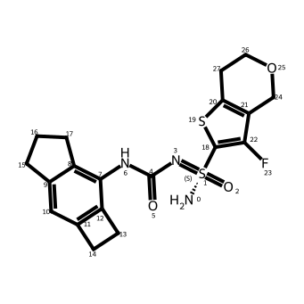 N[S@](=O)(=NC(=O)Nc1c2c(cc3c1CC3)CCC2)c1sc2c(c1F)COCC2